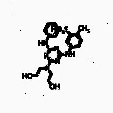 Cc1ccc(Nc2nc(Nc3ccccc3)nc(N(CCO)CCO)n2)cc1S(=O)(=O)O